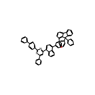 c1ccc(-c2ccc(-c3nc(-c4ccccc4)cc(-c4ccc(-c5cccc(-c6cccc7c6C(c6ccccc6)(c6ccccc6)c6ccccc6-7)c5)c5ccccc45)n3)cc2)cc1